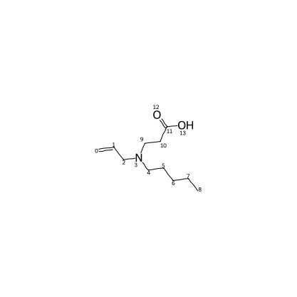 C=CCN(CCCCC)CCC(=O)O